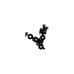 Cc1cccc(N(Cc2ccc(-c3nnc(C(F)F)o3)cc2)S(=O)(=O)C2CCN([C@H]3CC[C@@H](F)CC3)CC2)c1